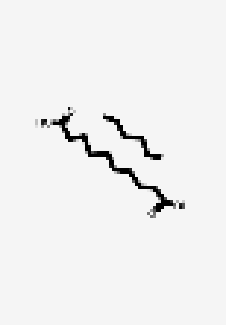 CCCCCC.O=C(O)CCCCCCCCC(=O)O